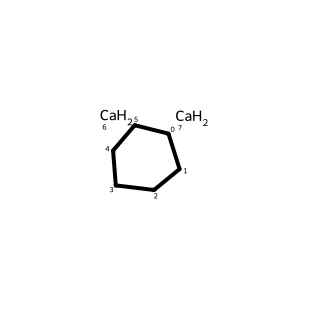 C1CCCCC1.[CaH2].[CaH2]